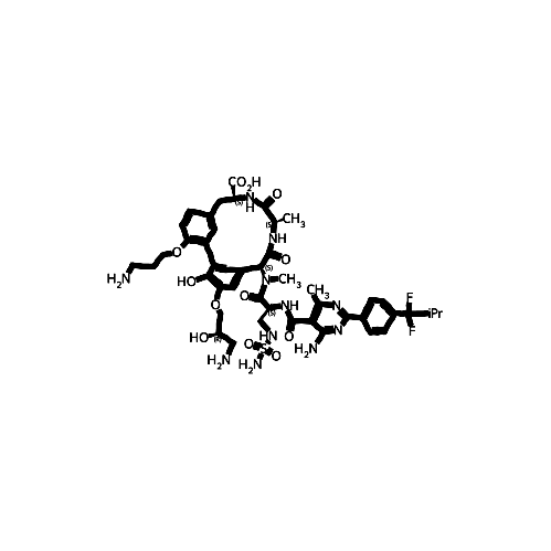 Cc1nc(-c2ccc(C(F)(F)C(C)C)cc2)nc(N)c1C(=O)N[C@@H](CNS(N)(=O)=O)C(=O)N(C)[C@@H]1C(=O)N[C@@H](C)C(=O)N[C@H](C(=O)O)Cc2ccc(OCCCN)c(c2)-c2cc1cc(OC[C@H](O)CN)c2O